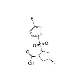 O=C(O)[C@@H]1C[C@H](F)CN1S(=O)(=O)c1ccc(F)cc1